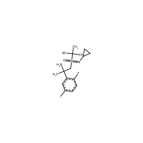 CC(N)(CS(=O)(=NC1CC1)C(C)(C)C#N)c1cc(I)ccc1F